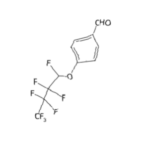 O=Cc1ccc(OC(F)C(F)(F)C(F)(F)C(F)(F)F)cc1